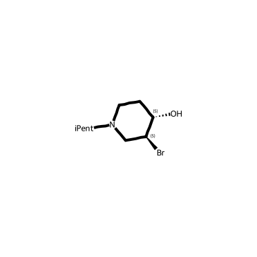 [CH2]CCC(C)N1CC[C@H](O)[C@@H](Br)C1